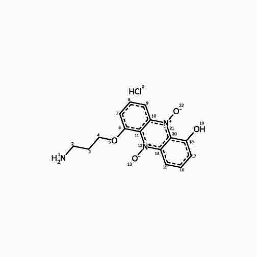 Cl.NCCCOc1cccc2c1[n+]([O-])c1cccc(O)c1[n+]2[O-]